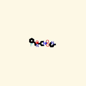 Cc1ccc(OC(=O)N2CCC(c3ncc(-c4ccccc4F)o3)CC2)cn1